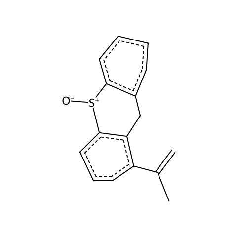 C=C(C)c1cccc2c1Cc1ccccc1[S+]2[O-]